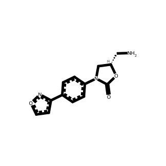 NC[C@H]1CN(c2ccc(-c3ccon3)cc2)C(=O)O1